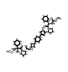 CC(C)(C)OC(=O)N[C@@H](C(=O)N1CCC[C@H]1c1nc(-c2ccc(C3CC(NC(=O)[C@@H]4CCCN4C(=O)[C@](NC(=O)O)(c4ccccc4)C(C)(C)C)C3)cc2)c[nH]1)c1ccccc1